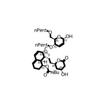 CCCCCOC[C@H]1O[C@H](O)C=C[C@@H]1OCCCCC.CC[C@H](C)C(=O)O[C@H]1CCC=C2C=C[C@H](C)[C@H](CC[C@@H]3C[C@@H](O)CC(=O)O3)[C@H]21